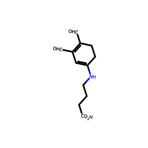 O=CC1=C(C=O)CCC(NCCCC(=O)O)=C1